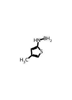 BNc1cc(C)cs1